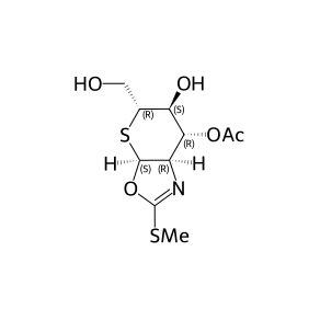 CSC1=N[C@@H]2[C@@H](OC(C)=O)[C@H](O)[C@@H](CO)S[C@@H]2O1